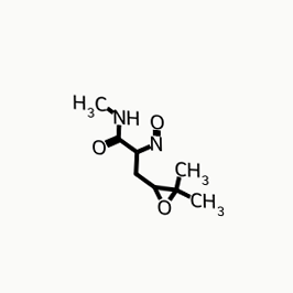 CNC(=O)C(CC1OC1(C)C)N=O